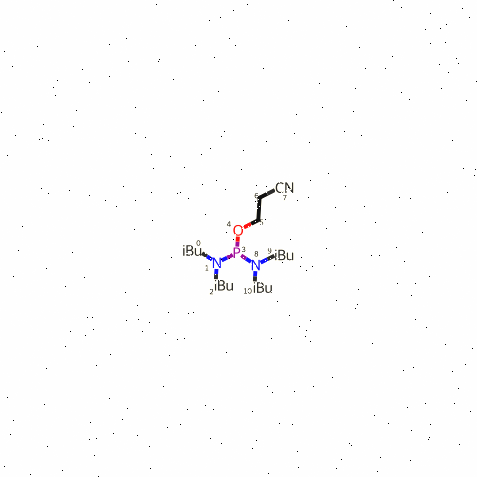 CCC(C)N(C(C)CC)P(OCCC#N)N(C(C)CC)C(C)CC